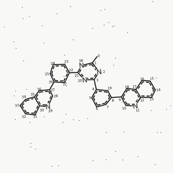 Cc1nc(-c2cccc(-c3cnc4ccccc4c3)c2)nc(-c2cccc(-c3cnc4ccccc4c3)c2)n1